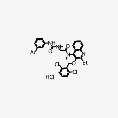 CCc1nc2ccccc2c(N(C)C(=O)CNC(=O)Nc2cccc(C(C)=O)c2)c1OCc1c(Cl)cccc1Cl.Cl